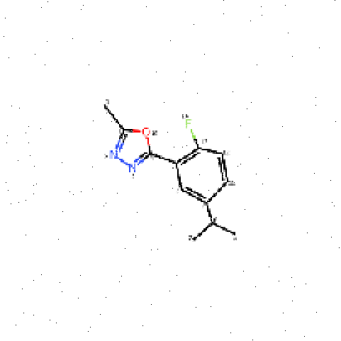 Cc1nnc(-c2cc(C(C)C)ccc2F)o1